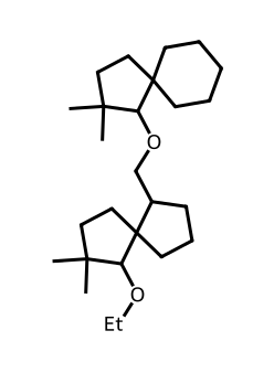 CCOC1C(C)(C)CCC12CCCC2COC1C(C)(C)CCC12CCCCC2